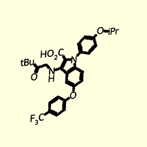 CC(C)Oc1ccc(-n2c(C(=O)O)c(NCC(=O)C(C)(C)C)c3cc(Oc4ccc(C(F)(F)F)cc4)ccc32)cc1